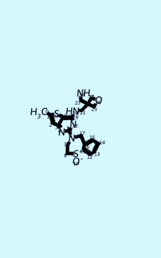 Cc1cc2nc(N3CC[S+]([O-])c4ccccc4C3)nc(NCC3(CN)COC3)c2s1